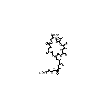 CCCCCCCCCCCCOC(=O)CCN(C)CCN(CCN(C)CCC(=O)OCCCCCCCCCCCC)CCN(C)CCC(=O)OCCCCCCCCCCCC